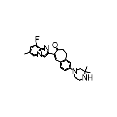 Cc1cc(F)c2nc(C3=Cc4ccc(N5CCNC(C)(C)C5)cc4CCC3=O)cn2c1